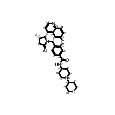 C[C@H]1CC(=O)N(Cc2ccc(C(=O)NC3CCN(C4CCOCC4)CC3)cc2Oc2ccc3ncccc3c2)C1